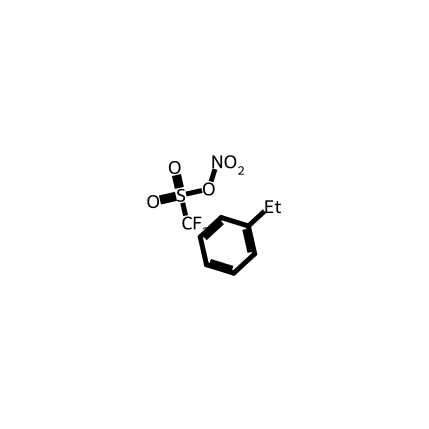 CCc1ccccc1.O=[N+]([O-])OS(=O)(=O)C(F)(F)F